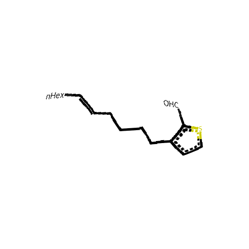 CCCCCCC=CCCCCc1ccsc1C=O